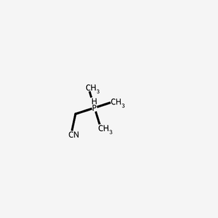 C[PH](C)(C)CC#N